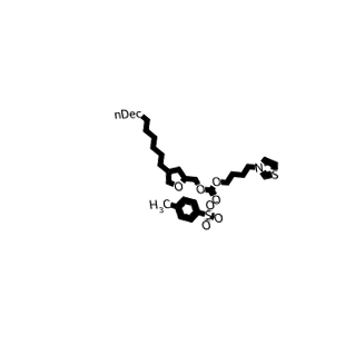 CCCCCCCCCCCCCCCCC1COC(COC(=O)OCCCC[n+]2ccsc2)C1.Cc1ccc(S(=O)(=O)[O-])cc1